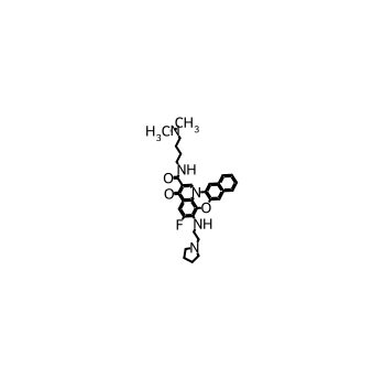 CN(C)CCCCNC(=O)c1cn2c3c(c(NCCN4CCCC4)c(F)cc3c1=O)Oc1cc3ccccc3cc1-2